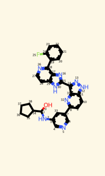 OC(Nc1cncc(-c2ccc3[nH]nc(-c4nc5c(-c6ccccc6F)nccc5[nH]4)c3n2)c1)C1CCCC1